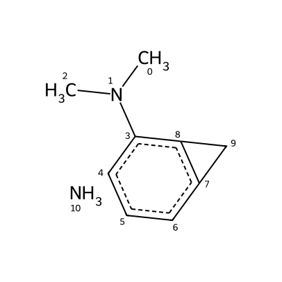 CN(C)c1cccc2c1C2.N